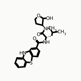 CC(C)C[C@H](NC(=O)c1ccc2c(c1)Nc1ccccc1S2)C(=O)N[C@H]1CCOC1O